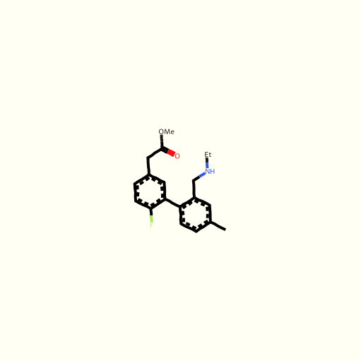 CCNCc1cc(C)ccc1-c1cc(CC(=O)OC)ccc1F